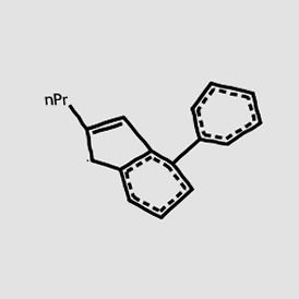 CCCC1=Cc2c(cccc2-c2ccccc2)[CH]1